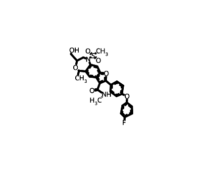 CNC(=O)c1c(-c2ccc(Oc3ccc(F)cc3)cc2)oc2cc3c(cc12)C(C)OC(CO)CN3S(C)(=O)=O